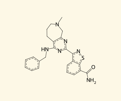 CN1CCCc2c(nc(-c3nsc4c(C(N)=O)cccc34)nc2NCc2ccccc2)C1